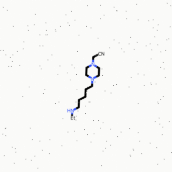 CCNCCCCCN1CCN(CC#N)CC1